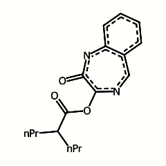 CCCC(CCC)C(=O)Oc1ncc2ccccc2nc1=O